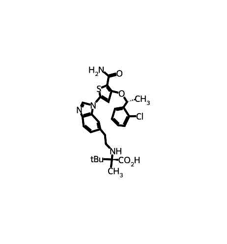 C[C@@H](Oc1cc(-n2cnc3ccc(CCN[C@@](C)(C(=O)O)C(C)(C)C)cc32)sc1C(N)=O)c1ccccc1Cl